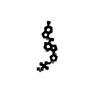 NS(=O)(=O)OC[C@H]1CC[C@H](n2ccc3c(N[C@H]4CCc5cc(Br)ccc54)ncnc32)C1